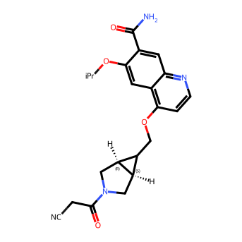 CC(C)Oc1cc2c(OCC3[C@H]4CN(C(=O)CC#N)C[C@@H]34)ccnc2cc1C(N)=O